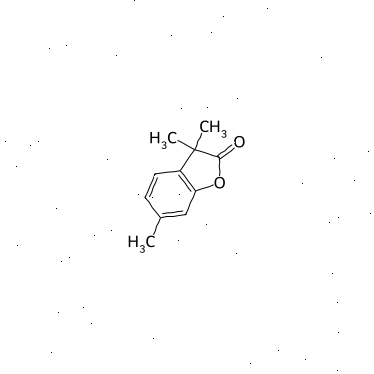 Cc1ccc2c(c1)OC(=O)C2(C)C